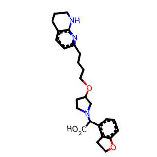 O=C(O)C(c1cccc2c1CCO2)N1CCC(OCCCCc2ccc3c(n2)NCCC3)C1